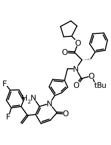 C=C(c1ccc(F)cc1F)c1ccc(=O)n(-c2ccc(CN(C(=O)OC(C)(C)C)[C@@H](Cc3ccccc3)C(=O)OC3CCCC3)cc2)c1N